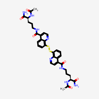 CC(=O)N[C@@H](CCCNC(=O)c1ccnc2c(SSc3cccc4c(C(=O)NCCC[C@H](NC(C)=O)C(N)=O)ccnc34)cccc12)C(N)=O